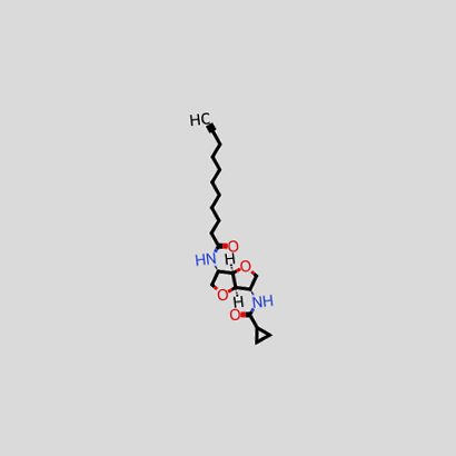 C#CCCCCCCCCC(=O)N[C@H]1CO[C@H]2[C@@H]1OC[C@@H]2NC(=O)C1CC1